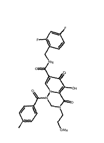 COCCN1CN(C(=O)c2ccc(C)cc2)n2cc(C(=O)NCc3ccc(F)cc3F)c(=O)c(O)c2C1=O